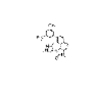 Cc1nn(C)cc1-n1c(=O)n(C)c2cnc3ccc(-c4cc(O)cc(C(F)(F)F)c4)cc3c21